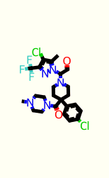 Cc1c(Cl)c(C(F)(F)F)nn1C(C=O)N1CCC(C(=O)N2CCN(C)CC2)(c2ccc(Cl)cc2)CC1